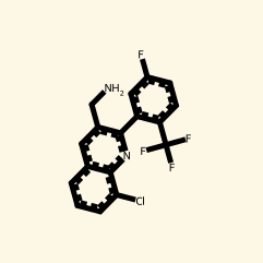 NCc1cc2cccc(Cl)c2nc1-c1cc(F)ccc1C(F)(F)F